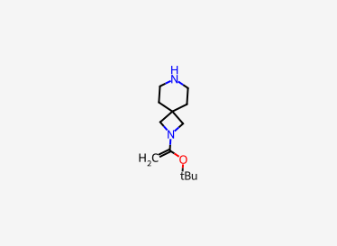 C=C(OC(C)(C)C)N1CC2(CCNCC2)C1